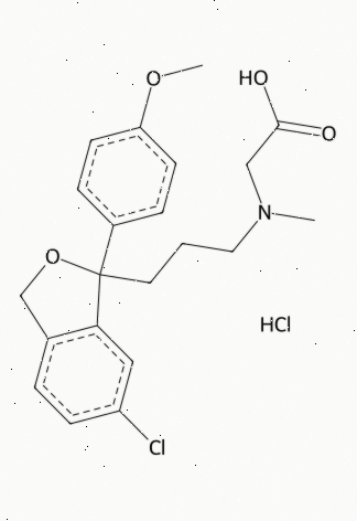 COc1ccc(C2(CCCN(C)CC(=O)O)OCc3ccc(Cl)cc32)cc1.Cl